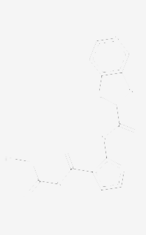 CC(C)OC(=O)NC(=O)c1ccsc1NC(=O)C1Nc2cnccc2S1